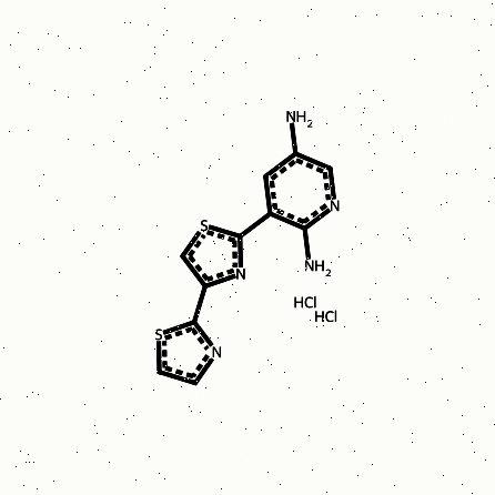 Cl.Cl.Nc1cnc(N)c(-c2nc(-c3nccs3)cs2)c1